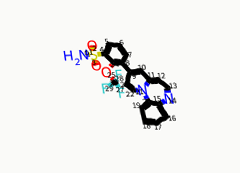 NS(=O)(=O)c1cccc(C2=CC3=CC=Nc4ccccc4N3C=C2)c1OC(F)(F)F